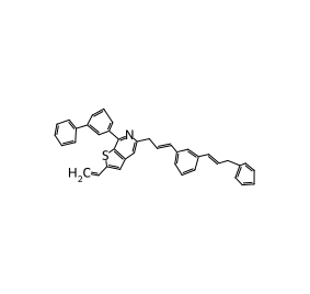 C=Cc1cc2cc(C/C=C/c3cccc(/C=C/Cc4ccccc4)c3)nc(-c3cccc(-c4ccccc4)c3)c2s1